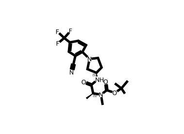 C[C@@H](C(=O)N[C@H]1CCN(c2ccc(C(F)(F)F)cc2C#N)C1)N(C)C(=O)OC(C)(C)C